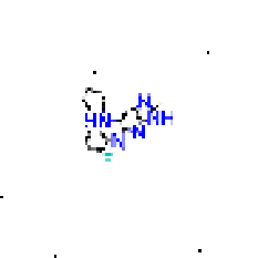 Cc1nc2cc(Nc3ccccc3)c(N(C)c3ccccc3F)nc2[nH]1